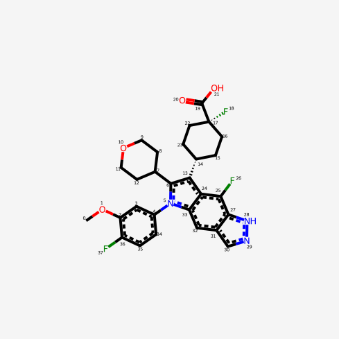 COc1cc(-n2c(C3CCOCC3)c([C@H]3CC[C@](F)(C(=O)O)CC3)c3c(F)c4[nH]ncc4cc32)ccc1F